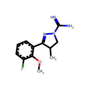 COc1c(F)cccc1C1=NN(C(=N)N)CC1C